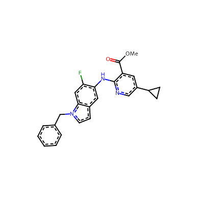 COC(=O)c1cc(C2CC2)cnc1Nc1cc2ccn(Cc3ccccc3)c2cc1F